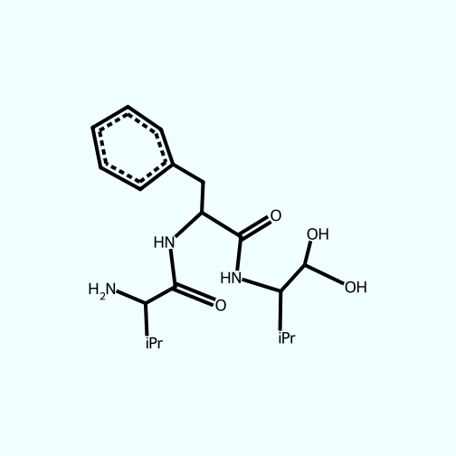 CC(C)C(N)C(=O)NC(Cc1ccccc1)C(=O)NC(C(C)C)C(O)O